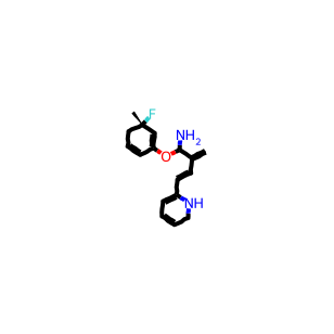 C=C(/C=C/C1=CC=CCN1)C(N)OC1=C[C@@](C)(F)CC=C1